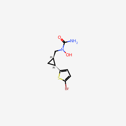 NC(=O)N(O)C[C@@H]1C[C@H]1c1ccc(Br)s1